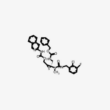 CN(C(=O)NCc1cccc(F)c1Cl)[C@@]1(CNC(=O)OCc2ccccc2)SC1COC(=O)Nc1cc2ccccc2cn1